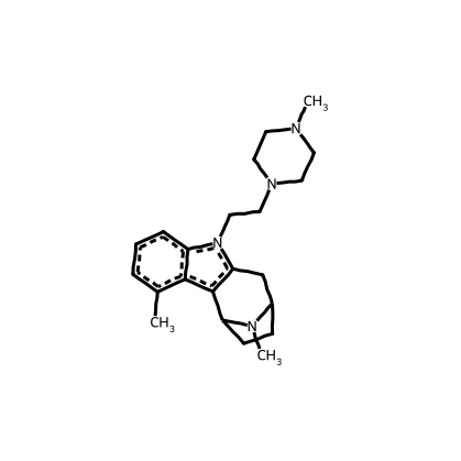 Cc1cccc2c1c1c(n2CCN2CCN(C)CC2)CC2CCC1N2C